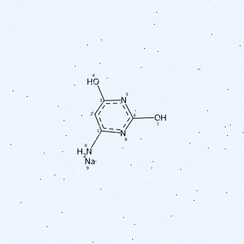 Nc1cc(O)nc(O)n1.[Na]